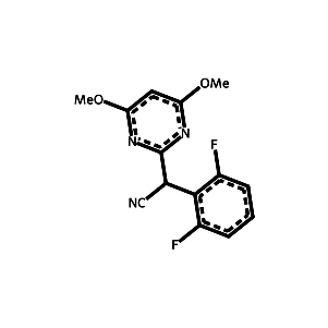 COc1cc(OC)nc(C(C#N)c2c(F)cccc2F)n1